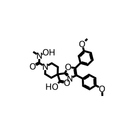 COc1ccc(-c2nc(C3(C(=O)O)CCN(C(=O)N(C)O)CC3)oc2-c2cccc(OC)c2)cc1